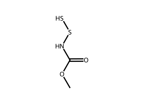 COC(=O)NSS